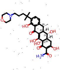 C[C@H]1c2ccc(C(C)(C)CCCN3CCOCC3)c(O)c2C(=O)C2=C(O)[C@]3(O)C(=O)C(C(N)=O)=C(O)C[C@@H]3[C@@H](O)[C@@H]21